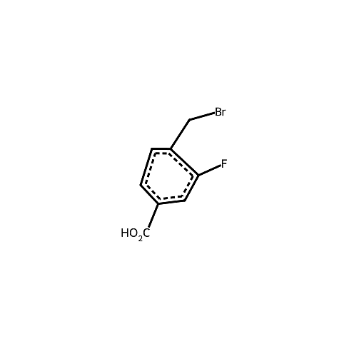 O=C(O)c1ccc(CBr)c(F)c1